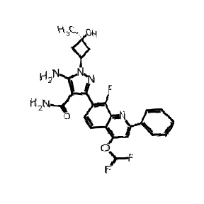 C[C@]1(O)C[C@@H](n2nc(-c3ccc4c(OC(F)F)cc(-c5ccccc5)nc4c3F)c(C(N)=O)c2N)C1